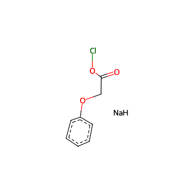 O=C(COc1ccccc1)OCl.[NaH]